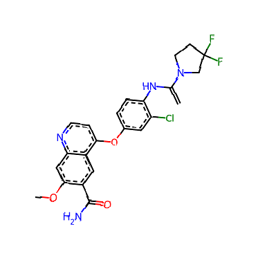 C=C(Nc1ccc(Oc2ccnc3cc(OC)c(C(N)=O)cc23)cc1Cl)N1CCC(F)(F)C1